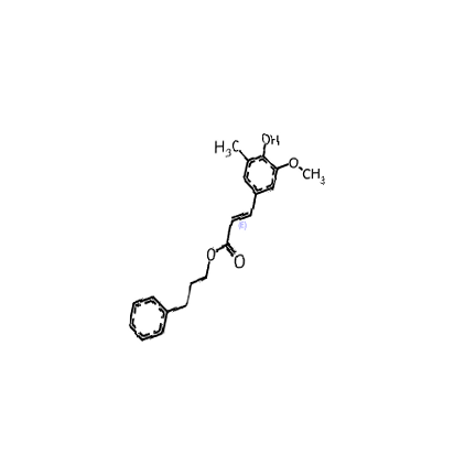 COc1cc(/C=C/C(=O)OCCCc2ccccc2)cc(C)c1O